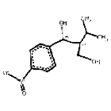 CC(C)[C@@H](CO)[C@@H](O)c1ccc([N+](=O)[O-])cc1